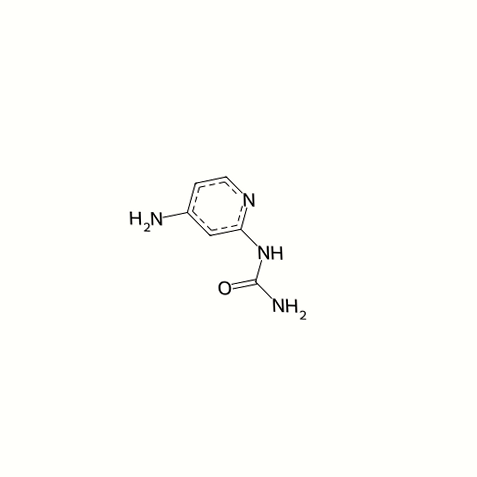 NC(=O)Nc1cc(N)ccn1